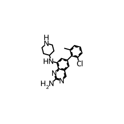 Cc1cccc(Cl)c1-c1cc(NC2CCNCC2)c2nc(N)ncc2c1